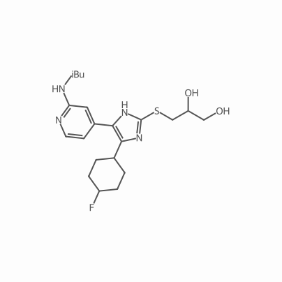 CCC(C)Nc1cc(-c2[nH]c(SCC(O)CO)nc2C2CCC(F)CC2)ccn1